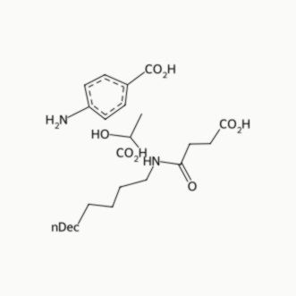 CC(O)C(=O)O.CCCCCCCCCCCCCCNC(=O)CCC(=O)O.Nc1ccc(C(=O)O)cc1